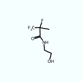 CC(F)(C(=O)NCCO)C(F)(F)F